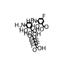 Nc1cc(F)cc(C(=O)O)c1O.Nc1cc(F)cc(C(=O)O)c1O.O=C(O)C(F)(F)C(F)(F)C(F)(F)C(=O)O